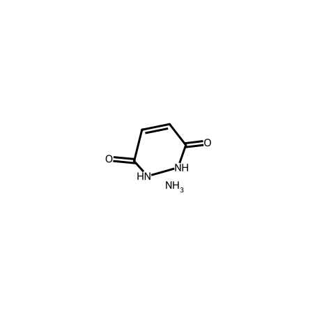 N.O=c1ccc(=O)[nH][nH]1